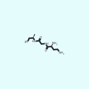 CC(C)C[C@@H](C)NC(=O)CNC(=O)[C@@H](N)CCN